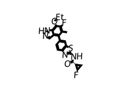 CCOc1c(F)c(C)c(-c2ccc3nc(NC(=O)[C@@H]4C[C@@H]4F)sc3c2)c2cn[nH]c12